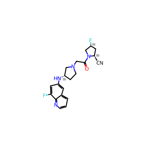 N#C[C@@H]1C[C@H](F)CN1C(=O)CN1CC[C@H](Nc2cc(F)c3ncccc3c2)C1